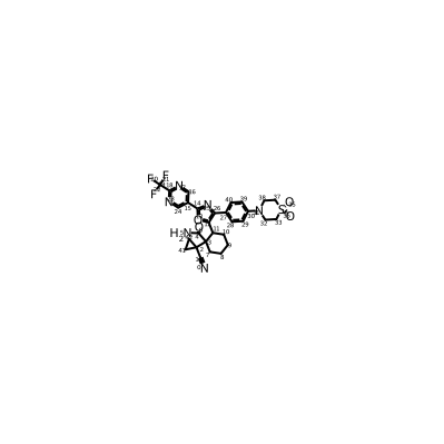 N#CC1(C2(C(N)=O)CCCCC2c2oc(-c3cnc(C(F)(F)F)nc3)nc2-c2ccc(N3CCS(=O)(=O)CC3)cc2)CC1